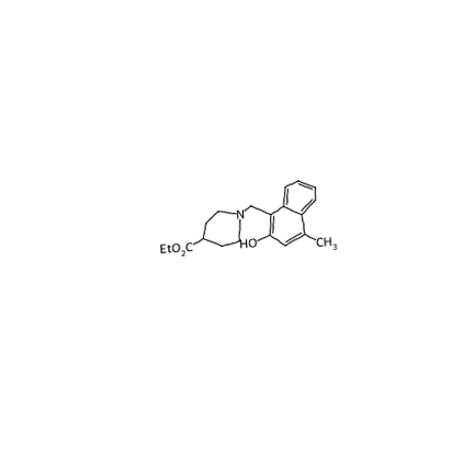 CCOC(=O)C1CCN(Cc2c(O)cc(C)c3ccccc23)CC1